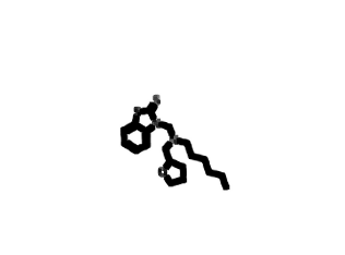 CCCCCCN(CC1CCCO1)Cn1c(=S)sc2ccccc21